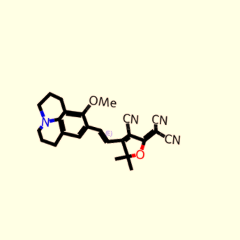 COc1c(/C=C/C2=C(C#N)C(=C(C#N)C#N)OC2(C)C)cc2c3c1CCCN3CCC2